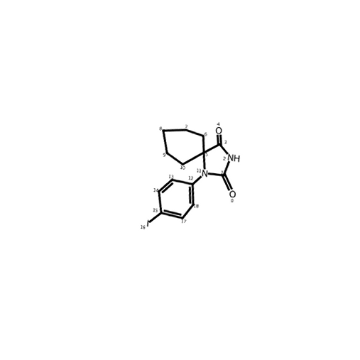 O=C1NC(=O)C2(CCCCC2)N1c1ccc(I)cc1